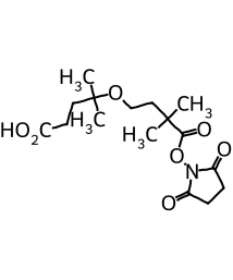 CC(C)(CCC(=O)O)OCCC(C)(C)C(=O)ON1C(=O)CCC1=O